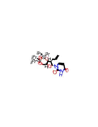 C=CC[C@@H]1[C@@H]2O[Si](C(C)C)(C(C)C)O[Si](C(C)C)(C(C)C)OC[C@H]2O[C@H]1n1ccc(=O)[nH]c1=O